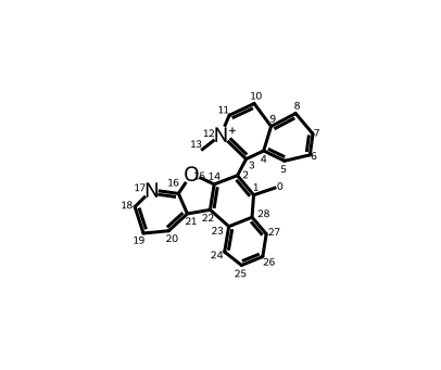 Cc1c(-c2c3ccccc3cc[n+]2C)c2oc3ncccc3c2c2ccccc12